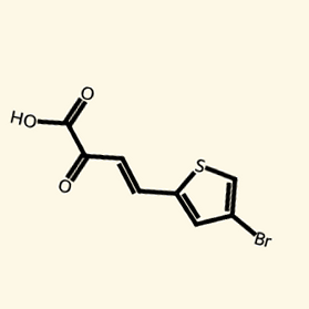 O=C(O)C(=O)C=Cc1cc(Br)cs1